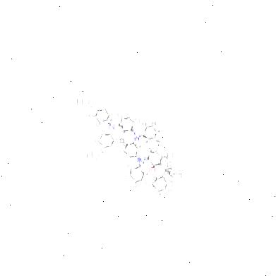 Cc1ccc(N2c3ccc(C)cc3B3c4ccc(N(c5ccccc5)c5cccc6c5Oc5ccccc5C6(C)C)cc4N(c4ccccc4)c4cccc2c43)cc1